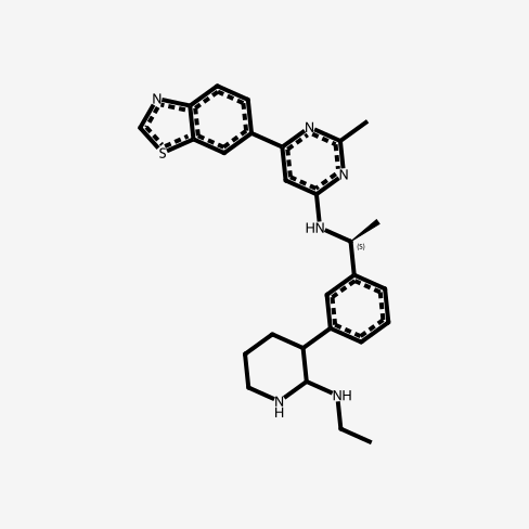 CCNC1NCCCC1c1cccc([C@H](C)Nc2cc(-c3ccc4ncsc4c3)nc(C)n2)c1